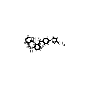 Cc1ccn(-c2ccc(C(=O)c3cccc4c3Nc3ncccc3CN4)c(F)c2)n1